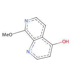 COc1nccc2c(O)ccnc12